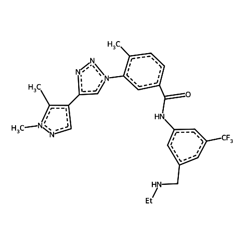 CCNCc1cc(NC(=O)c2ccc(C)c(-n3cc(-c4cnn(C)c4C)nn3)c2)cc(C(F)(F)F)c1